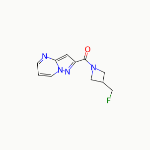 O=C(c1cc2ncccn2n1)N1CC(CF)C1